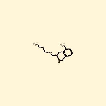 Cc1cccc2c1C[C@H](CNCCCC(F)(F)F)NC2